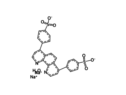 O.O=S(=O)([O-])c1ccc(-c2ccnc3c2ccc2c(-c4ccc(S(=O)(=O)[O-])cc4)ccnc23)cc1.[Na+].[Na+]